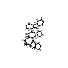 c1ccc(-n2c3ccccc3c3cccc(-c4ccc5c(cnc6sc7ccccc7c65)c4)c32)cc1